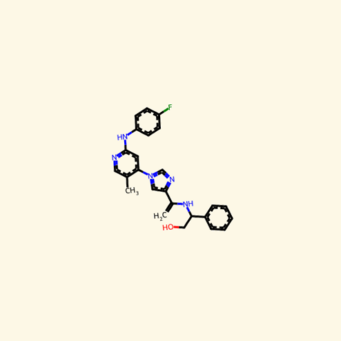 C=C(NC(CO)c1ccccc1)c1cn(-c2cc(Nc3ccc(F)cc3)ncc2C)cn1